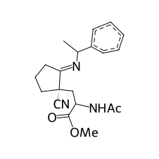 COC(=O)C(C[C@@]1(C#N)CCC/C1=N\C(C)c1ccccc1)NC(C)=O